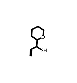 C=CC(S)C1CCCCO1